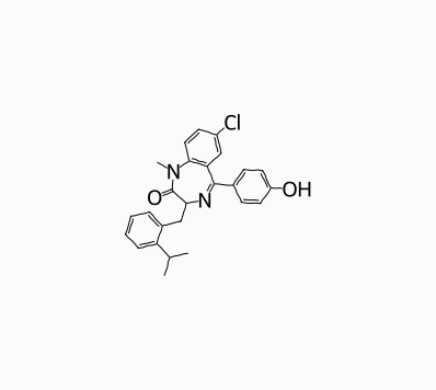 CC(C)c1ccccc1CC1N=C(c2ccc(O)cc2)c2cc(Cl)ccc2N(C)C1=O